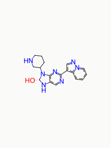 O[C@H]1Nc2cnc(-c3cnn4ccccc34)nc2N1C1CCCNC1